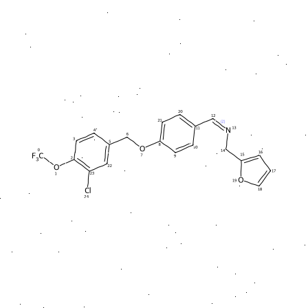 FC(F)(F)Oc1ccc(COc2ccc(/C=N\Cc3ccco3)cc2)cc1Cl